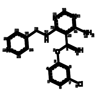 N=C(Oc1cccc(Cl)c1)c1c(N)ncnc1NCc1ccncc1